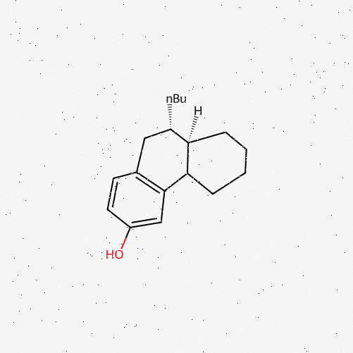 CCCC[C@H]1Cc2ccc(O)cc2C2CCCC[C@@H]21